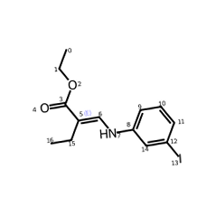 CCOC(=O)/C(=C/Nc1cccc(I)c1)CC